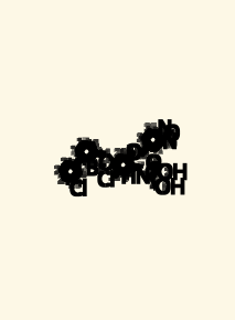 O=C(O)[C@@H](CO)NCc1cc(Cl)c(OCc2cccc(-c3cccc(Cl)c3)c2Br)cc1OCc1ccc2nonc2c1